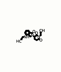 C#CCNc1cccc2c1CN(C1CCC(=O)N(CC#C)C1=O)C2=O